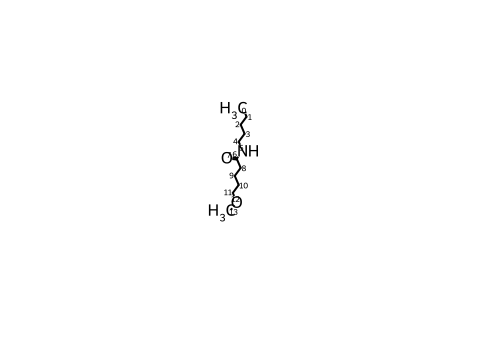 CCCCCNC(=O)CCCCOC